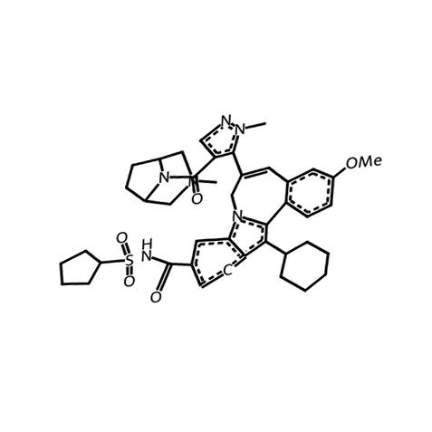 COc1ccc2c(c1)C=C(c1c(C(=O)N3C4CCC3CN(C)C4)cnn1C)Cn1c-2c(C2CCCCC2)c2ccc(C(=O)NS(=O)(=O)C3CCCC3)cc21